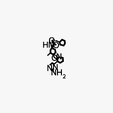 Cc1cc(NS(=O)(=O)Cc2ccccc2)ccc1Oc1ncccc1-c1ccnc(N)n1